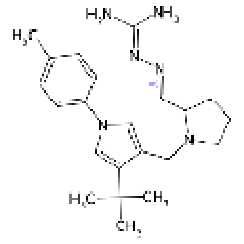 Cc1ccc(-n2cc(CN3CCCC3/C=N/N=C(N)N)c(C(C)(C)C)c2)cc1